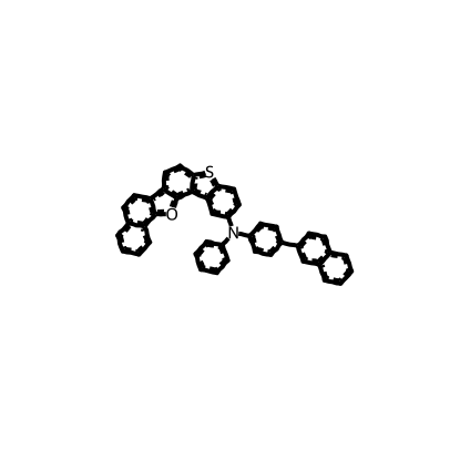 c1ccc(N(c2ccc(-c3ccc4ccccc4c3)cc2)c2ccc3sc4ccc5c6ccc7ccccc7c6oc5c4c3c2)cc1